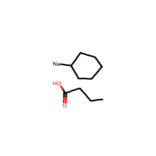 CCCC(=O)O.[Na][CH]1CCCCC1